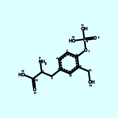 NC(Cc1ccc(OP(=O)(O)O)c(CO)c1)C(=O)O